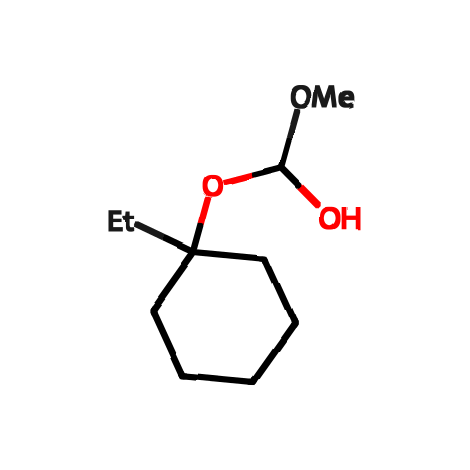 CCC1(OC(O)OC)CCCCC1